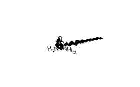 CCCCCCCCCCCCCCCCCCOc1c(N)cc(N)cc1[C]=O